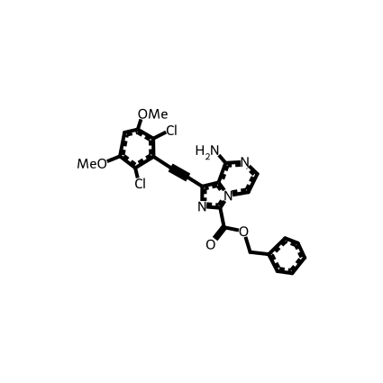 COc1cc(OC)c(Cl)c(C#Cc2nc(C(=O)OCc3ccccc3)n3ccnc(N)c23)c1Cl